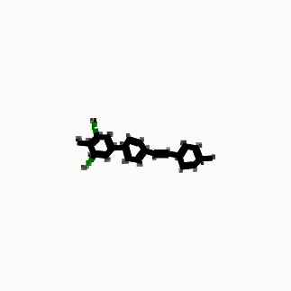 Cc1ccc(C#Cc2ccc(-c3cc(F)c(C)c(F)c3)cc2)cc1